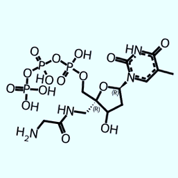 Cc1cn([C@H]2CC(O)[C@@](CNC(=O)CN)(COP(=O)(O)OP(=O)(O)OP(=O)(O)O)O2)c(=O)[nH]c1=O